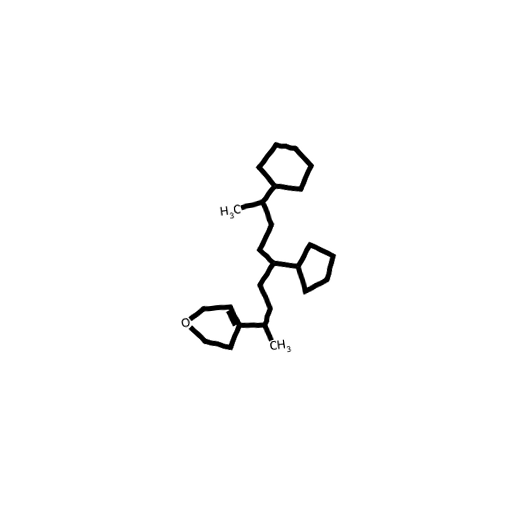 CC(CCC(CCC(C)C1CCCCC1)C1CCCC1)C1=CCOCC1